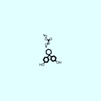 COOC(=O)OOC.Oc1ccc(C2(c3ccc(O)cc3)CCCCC2)cc1